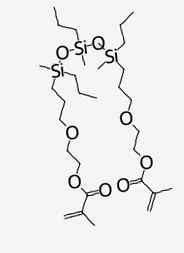 C=C(C)C(=O)OCCOCCC[Si](C)(CCC)O[Si](C)(CCC)O[Si](C)(CCC)CCCOCCOC(=O)C(=C)C